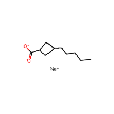 CCCCCC1CC(C(=O)[O-])C1.[Na+]